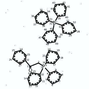 O=C(C[P+](c1ccccc1)(c1ccccc1)c1ccccc1)c1ccccc1.c1ccc([B-](c2ccccc2)(c2ccccc2)c2ccccc2)cc1